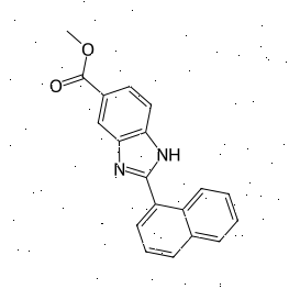 COC(=O)c1ccc2[nH]c(-c3cccc4ccccc34)nc2c1